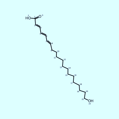 O=C(O)C=CC=CC=CCCCCCCCCCCCCCO